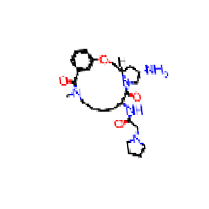 CN1CCCC[C@H](NC(=O)CN2CCCC2)C(=O)N2C[C@@H](N)C[C@H]2COc2cccc(c2)C1=O